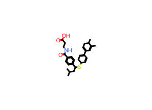 CC1=CC(C2=CCC(SC(CC(C)C)c3ccc(C(=O)NCCC(=O)O)cc3)C=C2)=CCC1C